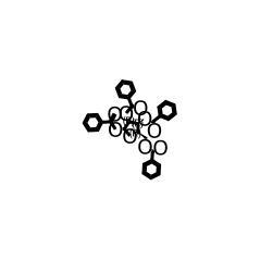 O=C(OC[C@H]1OC(OC(=O)c2ccccc2)[C@H](OC(=O)c2ccccc2)[C@@H]1OC(=O)c1ccccc1)c1ccccc1